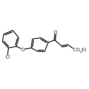 CCOC(=O)C=CC(=O)c1ccc(Oc2ccccc2Cl)cc1